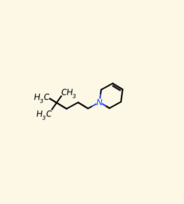 CC(C)(C)CCCN1CC=CCC1